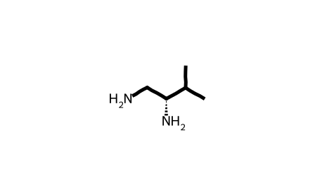 CC(C)[C@H](N)CN